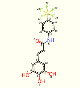 O=C(C=Cc1cc(O)c(O)c(O)c1)Nc1ccc(S(F)(F)(F)(F)F)cc1